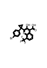 O=C(O)c1c(O)c(C2(c3ccc(Br)cc3)CC2)nc2c(C(F)(F)F)cccc12